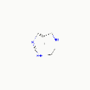 C/C1=C\N=C/NCCNC1